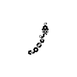 COc1cc(C)c(S(=O)(=O)N(C)CCC(=O)N2CCC(N3CCN(C4CCC(CN5CCCC5)CC4)CC3)C2)c(C)c1